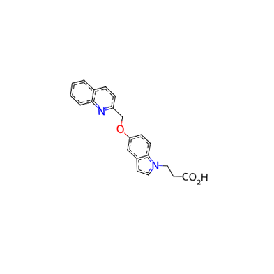 O=C(O)CCn1ccc2cc(OCc3ccc4ccccc4n3)ccc21